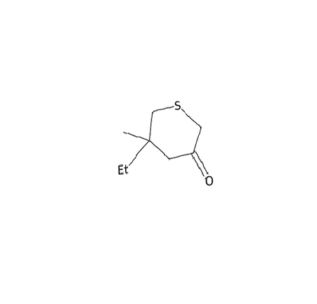 CCC1(C)CSCC(=O)C1